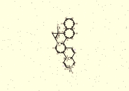 C=CC(=C)/C=C\c1c(C/C=C\C)cc[n+]2c1-c1ccc3ccccc3c1C1(CC)CC21CC